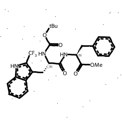 COC(=O)[C@H](Cc1ccccc1)NC(=O)[C@H](Cc1c(C(F)(F)F)[nH]c2ccccc12)NC(=O)OC(C)(C)C